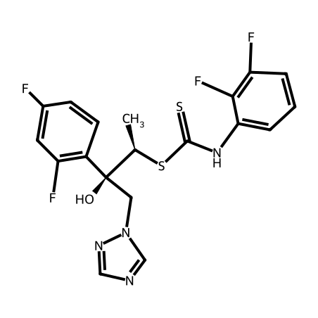 C[C@@H](SC(=S)Nc1cccc(F)c1F)[C@](O)(Cn1cncn1)c1ccc(F)cc1F